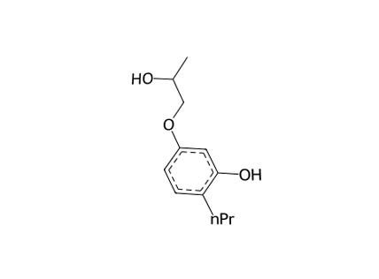 CCCc1ccc(OCC(C)O)cc1O